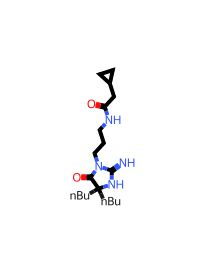 CCCCC1(CCCC)NC(=N)N(CCCNC(=O)CC2CC2)C1=O